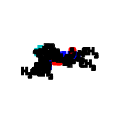 CCCN(CCC)C(=O)c1cccc(C(=O)N[C@@H](Cc2ccccc2)[C@H](O)CNC2(c3cccc(C(C)(C)C)c3)CCC(F)(F)CC2)c1